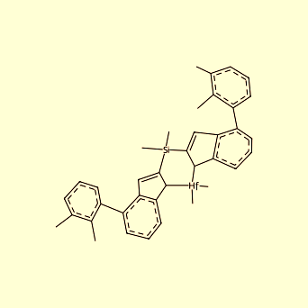 Cc1cccc(-c2cccc3c2C=C2[CH]3[Hf]([CH3])([CH3])[CH]3C(=Cc4c(-c5cccc(C)c5C)cccc43)[Si]2(C)C)c1C